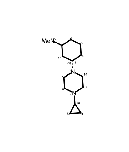 CNC1CCC[C@H](N2CCN(C3CC3)CC2)C1